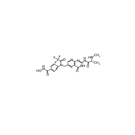 CNC(C)C(=O)Nc1nc2ncc(CN(C(=O)C(F)(F)F)c3ccc(C(=O)NO)cc3)nc2c(=O)[nH]1